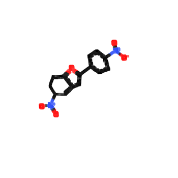 O=[N+]([O-])c1ccc(-c2cc3c(o2)=CCC([N+](=O)[O-])C=3)cc1